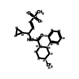 CS(=O)(=O)/C=C/[C@@H](NC(=O)N1CC[C@@H](C(F)(F)F)C[C@H]1c1ccccc1)C1CC1